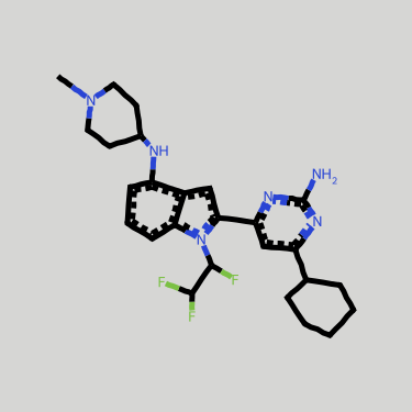 CN1CCC(Nc2cccc3c2cc(-c2cc(C4CCCCC4)nc(N)n2)n3C(F)C(F)F)CC1